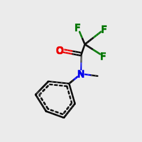 CN(C(=O)C(F)(F)F)c1ccccc1